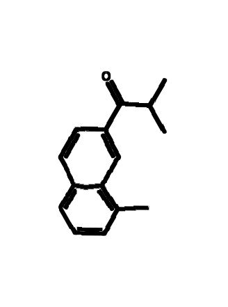 Cc1cccc2ccc(C(=O)C(C)C)cc12